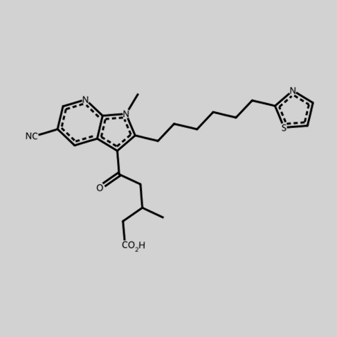 CC(CC(=O)O)CC(=O)c1c(CCCCCCc2nccs2)n(C)c2ncc(C#N)cc12